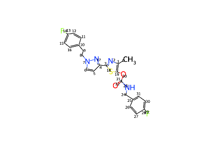 Cc1nc(-c2ccn(CCc3ccc(F)cc3)n2)sc1OC(=O)NCc1ccc(F)cc1